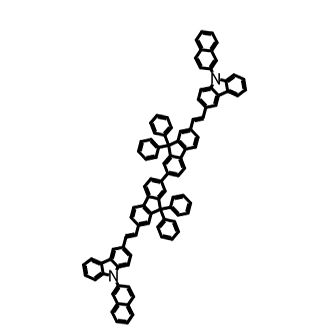 C(=C\c1ccc2c(c1)c1ccccc1n2-c1ccc2ccccc2c1)/c1ccc2c(c1)C(c1ccccc1)(c1ccccc1)c1cc(-c3ccc4c(c3)C(c3ccccc3)(c3ccccc3)c3cc(/C=C/c5ccc6c(c5)c5ccccc5n6-c5ccc6ccccc6c5)ccc3-4)ccc1-2